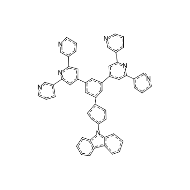 c1cncc(-c2cc(-c3cc(-c4ccc(-n5c6ccccc6c6ccccc65)cc4)cc(-c4cc(-c5cccnc5)nc(-c5cccnc5)c4)c3)cc(-c3cccnc3)n2)c1